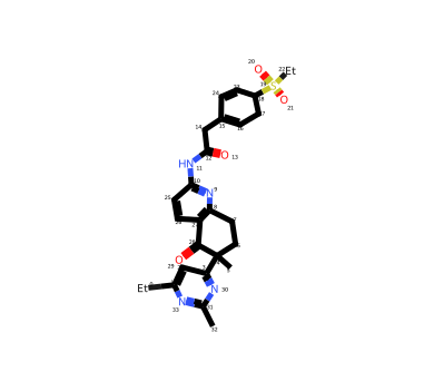 CCc1cc(C2(C)CCc3nc(NC(=O)CC4=CCC(S(=O)(=O)CC)C=C4)ccc3C2=O)nc(C)n1